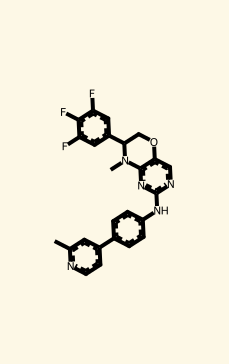 Cc1cc(-c2ccc(Nc3ncc4c(n3)N(C)C(c3cc(F)c(F)c(F)c3)CO4)cc2)ccn1